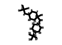 CC(C)(C)CC1CCC(C)(CN2CCN(C(C)(C)C)CC2)CC1